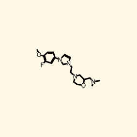 COc1ccc(N2C=CN(CCN3CCOC(CN(C)C)C3)C2)cc1F